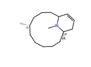 C[C@H]1CCCCC[C@@H]2CC=CC(CCC1)N2C